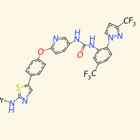 CCCNc1ncc(-c2ccc(Oc3ccc(NC(=O)Nc4cc(C(F)(F)F)ccc4-n4ccc(C(F)(F)F)n4)cn3)cc2)s1